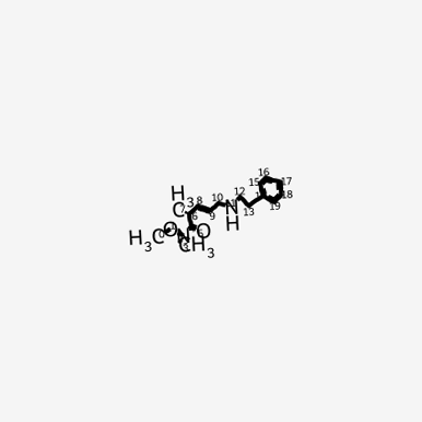 CON(C)C(=O)[C@@H](C)/C=C/CNCCc1ccccc1